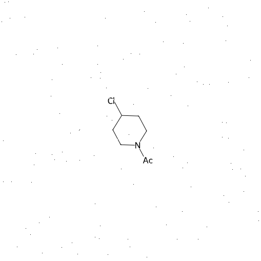 CC(=O)N1CCC(Cl)CC1